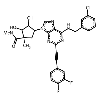 CNC(=O)[C@@]1(C)CC(n2cnc3c(NCc4cccc(Cl)c4)nc(C#Cc4ccc(F)c(F)c4)nc32)C(O)C1O